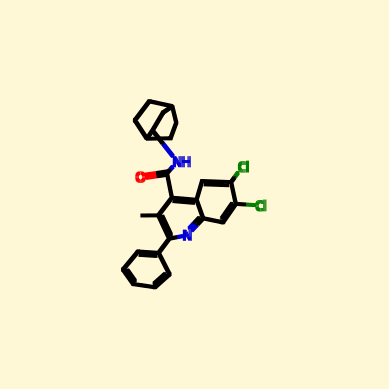 Cc1c(-c2ccccc2)nc2cc(Cl)c(Cl)cc2c1C(=O)NC1CC2CCC1CC2